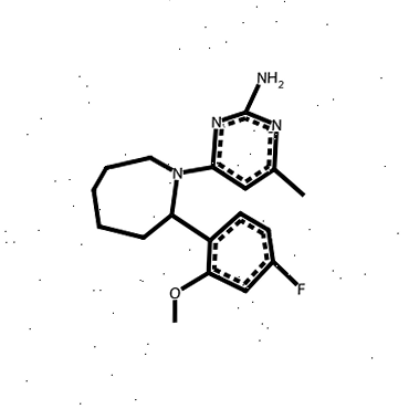 COc1cc(F)ccc1C1CCCCCN1c1cc(C)nc(N)n1